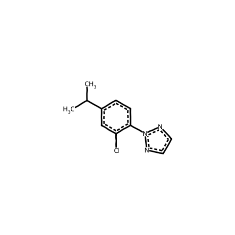 CC(C)c1ccc(-n2nccn2)c(Cl)c1